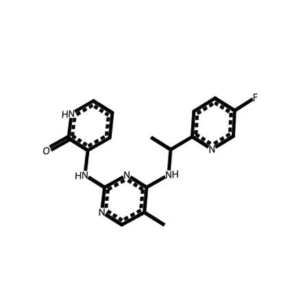 Cc1cnc(Nc2ccc[nH]c2=O)nc1NC(C)c1ccc(F)cn1